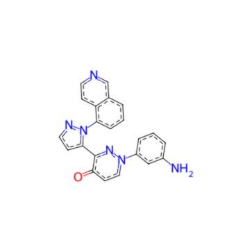 Nc1cccc(-n2ccc(=O)c(-c3ccnn3-c3cccc4cnccc34)n2)c1